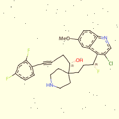 COc1ccc2ncc(Cl)c([C@H](F)CCC3([C@@H](O)CC#Cc4ccc(F)cc4F)CCNCC3)c2c1